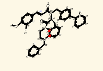 COc1ccc(/C=C/C(=O)N(Cc2ccc(-c3ccccn3)cc2)[C@@H](Cc2ccccc2)C(=O)N2CCN(Cc3ccccc3)CC2)cc1F